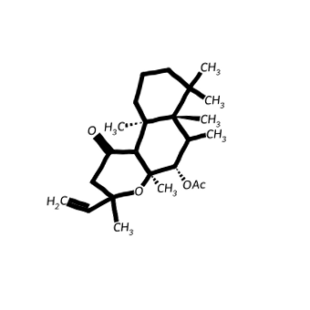 C=CC1(C)CC(=O)C2[C@](C)(O1)[C@@H](OC(C)=O)C(C)[C@@]1(C)C(C)(C)CCC[C@]21C